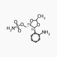 CC1O[C@@H](COS(N)(=O)=O)[C@H](c2ccccc2N)O1